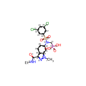 CCNC(=O)c1nn(C)c2cc(N(CP(=O)(O)O)S(=O)(=O)c3cc(Cl)cc(Cl)c3)ccc12